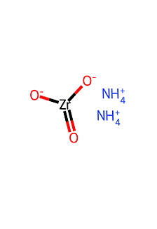 [NH4+].[NH4+].[O]=[Zr]([O-])[O-]